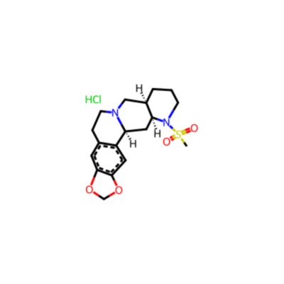 CS(=O)(=O)N1CCC[C@@H]2CN3CCc4cc5c(cc4[C@@H]3C[C@@H]21)OCO5.Cl